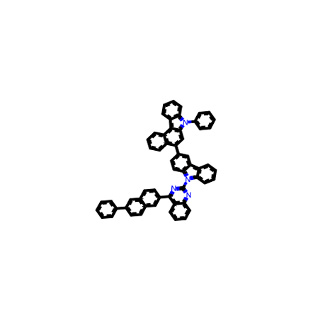 c1ccc(-c2ccc3cc(-c4nc(-n5c6ccccc6c6cc(-c7cc8c(c9ccccc79)c7ccccc7n8-c7ccccc7)ccc65)nc5ccccc45)ccc3c2)cc1